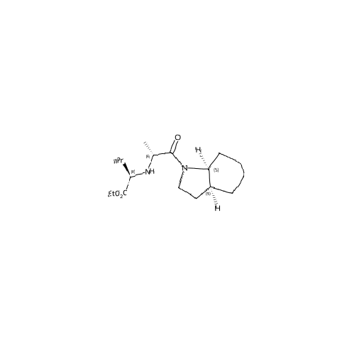 CCC[C@@H](N[C@H](C)C(=O)N1CC[C@@H]2CCCC[C@@H]21)C(=O)OCC